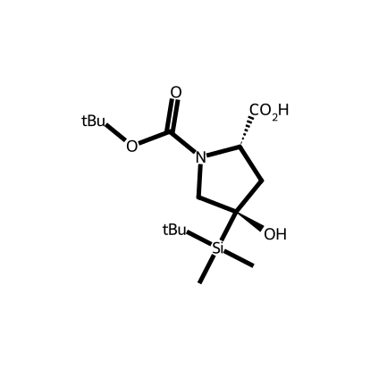 CC(C)(C)OC(=O)N1C[C@@](O)([Si](C)(C)C(C)(C)C)C[C@H]1C(=O)O